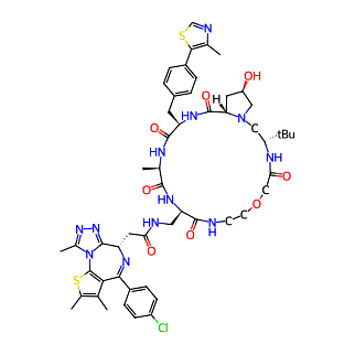 Cc1ncsc1-c1ccc(C[C@H]2NC(=O)[C@@H]3C[C@@H](O)CN3C[C@H](C(C)(C)C)NC(=O)COCCNC(=O)[C@@H](CNC(=O)C[C@@H]3N=C(c4ccc(Cl)cc4)c4c(sc(C)c4C)-n4c(C)nnc43)NC(=O)[C@@H](C)NC2=O)cc1